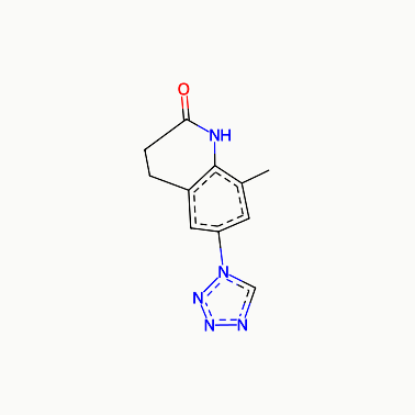 Cc1cc(-n2cnnn2)cc2c1NC(=O)CC2